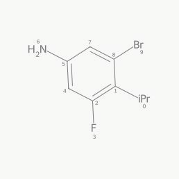 CC(C)c1c(F)cc(N)cc1Br